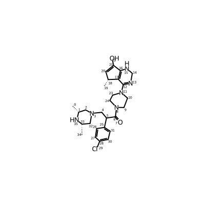 C[C@@H]1CN(CC(C(=O)N2CCN(C3=NCNC4=C3[C@H](C)C=C4O)CC2)c2ccc(Cl)cc2)C[C@H](C)N1